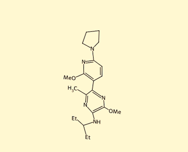 CCC(CC)Nc1nc(C)c(-c2ccc(N3CCCC3)nc2OC)nc1OC